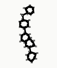 c1ccc(Oc2ccc(-c3ccc4cc(-c5ccccc5)ccc4c3)cc2)cc1